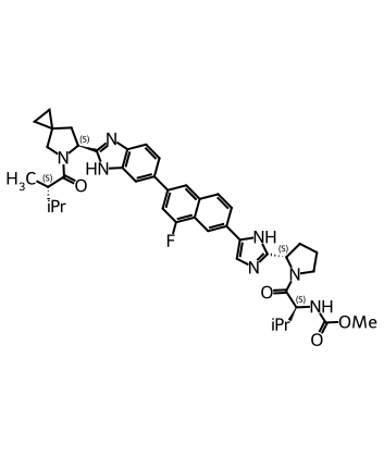 COC(=O)N[C@H](C(=O)N1CCC[C@H]1c1ncc(-c2ccc3cc(-c4ccc5nc([C@@H]6CC7(CC7)CN6C(=O)[C@@H](C)C(C)C)[nH]c5c4)cc(F)c3c2)[nH]1)C(C)C